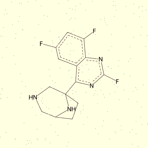 Fc1cc(F)c2nc(F)nc(C34CCC(CNC3)N4)c2c1